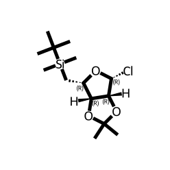 CC1(C)O[C@@H]2[C@H](O1)[C@H](C[Si](C)(C)C(C)(C)C)O[C@@H]2Cl